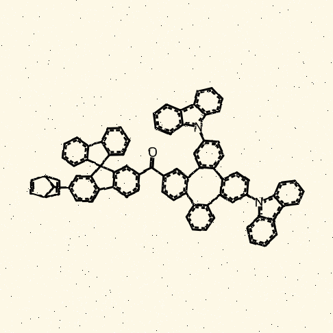 O=C(c1ccc2c(c1)-c1cc(-n3c4ccccc4c4ccccc43)ccc1-c1ccc(-n3c4ccccc4c4ccccc43)cc1-c1ccccc1-2)c1ccc2c(c1)C1(c3ccccc3-c3ccccc31)c1cc(C3C4C=CC3C=C4)ccc1-2